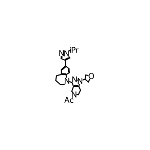 CC(=O)N1CCc2c(c(N3CCCCc4cc(-c5cnn(C(C)C)c5)ccc43)nn2C2COC2)C1